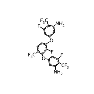 Nc1cc(Oc2ccc(C(F)(F)F)c(Oc3cc(N)c(C(F)(F)F)c(F)c3)c2F)cc(F)c1C(F)(F)F